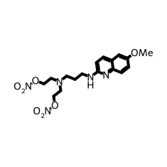 COc1ccc2nc(NCCCN(CCO[N+](=O)[O-])CCO[N+](=O)[O-])ccc2c1